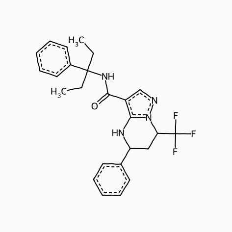 CCC(CC)(NC(=O)c1cnn2c1NC(c1ccccc1)CC2C(F)(F)F)c1ccccc1